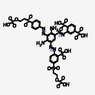 Nc1c(/N=N/c2cc(S(=O)(=O)O)ccc2S(=O)(=O)O)cc(/N=N/c2ccc(S(=O)(=O)CCOS(=O)(=O)O)cc2S(=O)(=O)O)c(N)c1/N=N/c1ccc(S(=O)(=O)CCOS(=O)(=O)O)cc1